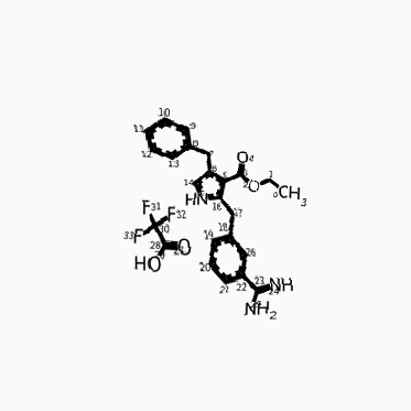 CCOC(=O)c1c(Cc2ccccc2)c[nH]c1Cc1cccc(C(=N)N)c1.O=C(O)C(F)(F)F